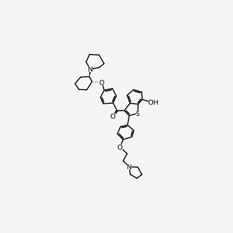 O=C(c1ccc(O[C@@H]2CCCC[C@H]2N2CCCCC2)cc1)c1c(-c2ccc(OCCN3CCCC3)cc2)sc2c(O)cccc12